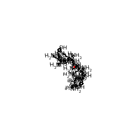 CC[C@H](C)[C@H](NC(=O)[C@@H](NC(=O)[C@@H]1C[C@@H](O)CN1C(=O)[C@@H](N)C(C)C)[C@@H](C)CC)C(=O)N[C@@H](Cc1ccc(O)cc1)C(=O)N[C@H](C(=O)N[C@@H](CC(N)=O)C(=O)N[C@@H](CCCNC(=N)N)C(=O)N[C@@H](CCN)C(=O)N[C@H](C(=O)N[C@H](CCN)C(=O)N[C@@H](CCCCN)C(=O)N[C@@H](CS)C(=O)N[C@@H](CCN)C(=O)N[C@@H](CCCN)C(=O)N[C@@H](Cc1ccc(O)cc1)C(=O)O)[C@@H](C)O)C(C)(C)S